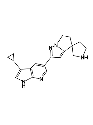 c1nc2[nH]cc(C3CC3)c2cc1-c1cc2n(n1)CCC21CCNC1